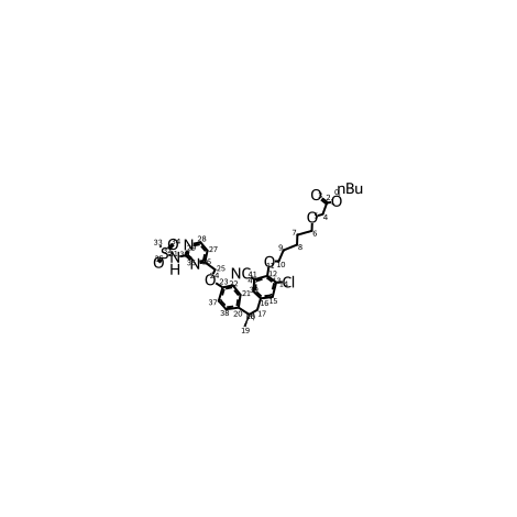 CCCCOC(=O)COCCCCCOc1c(Cl)cc(C[C@@H](C)c2ccc(OCc3ccnc(NS(C)(=O)=O)n3)cc2)cc1C#N